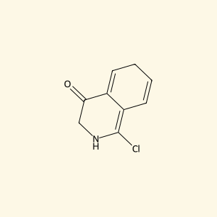 O=C1CNC(Cl)=C2C=CCC=C12